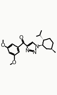 COc1cc(OC)cc(C(=O)c2cn([C@@H]3C[C@H](C)CC[C@H]3C(C)C)nn2)c1